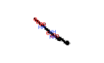 COCCOCCOCC(=O)NCCCCCC(=O)NCCC(=O)ONC(=O)Cc1ccc(CCCCc2ccccc2)cc1